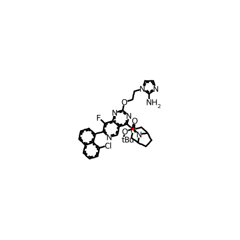 CC(C)(C)OC(=O)N1C2CCC1CN(c1nc(OCCn3ccnc3N)nc3c(F)c(-c4cccc5cccc(Cl)c45)ncc13)C2